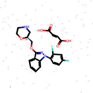 Fc1ccc(-n2nc(OC[C@@H]3CNCCO3)c3ccccc32)c(F)c1.O=C(O)C=CC(=O)O